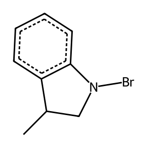 CC1CN(Br)c2ccccc21